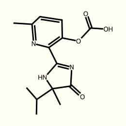 Cc1ccc(OC(=O)O)c(C2=NC(=O)C(C)(C(C)C)N2)n1